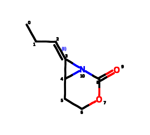 CC/C=C1\C2CCOC(=O)N12